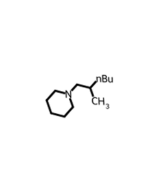 CCCCC(C)CN1CCCCC1